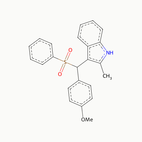 COc1ccc(C(c2c(C)[nH]c3ccccc23)S(=O)(=O)c2ccccc2)cc1